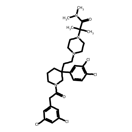 CN(C)C(=O)C(C)(C)N1CCN(CCC2(c3ccc(Cl)c(Cl)c3)CCCN(C(=O)Cc3cc(Cl)cc(Cl)c3)C2)CC1